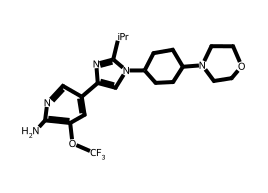 CC(C)c1nc(-c2cnc(N)c(OC(F)(F)F)c2)cn1C1CCC(N2CCOCC2)CC1